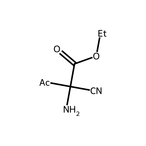 CCOC(=O)C(N)(C#N)C(C)=O